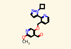 COc1cc(C=O)c(OCc2cccnc2-c2ccnn2C2CCC2)cn1